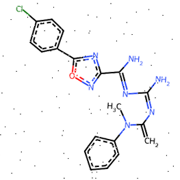 C=C(/N=C(N)\N=C(/N)c1noc(-c2ccc(Cl)cc2)n1)N(C)c1ccccc1